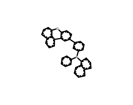 c1ccc(N(c2cccc(-c3ccc4c(c3)-c3cccc5cccc(c35)O4)c2)c2cccc3ccccc23)cc1